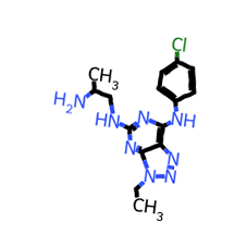 CCn1nnc2c(Nc3ccc(Cl)cc3)nc(NCC(C)N)nc21